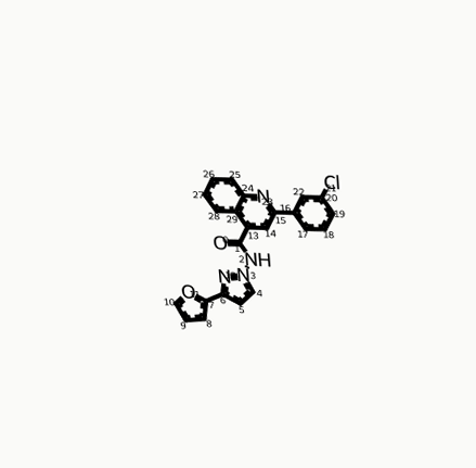 O=C(Nn1ccc(-c2ccco2)n1)c1cc(-c2cccc(Cl)c2)nc2ccccc12